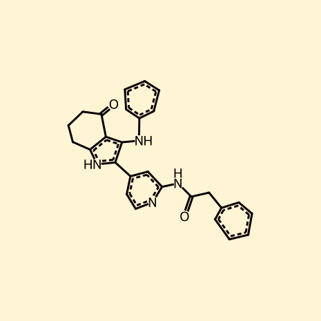 O=C(Cc1ccccc1)Nc1cc(-c2[nH]c3c(c2Nc2ccccc2)C(=O)CCC3)ccn1